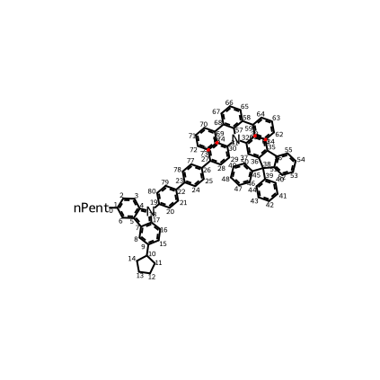 CCCCCc1ccc2c(c1)c1cc(C3CCCC3)ccc1n2-c1ccc(-c2ccc(-c3ccc(N(c4ccc5c(c4)C(c4ccccc4)(c4ccccc4)c4ccccc4-5)c4c(-c5ccccc5)cccc4-c4ccccc4)cc3)cc2)cc1